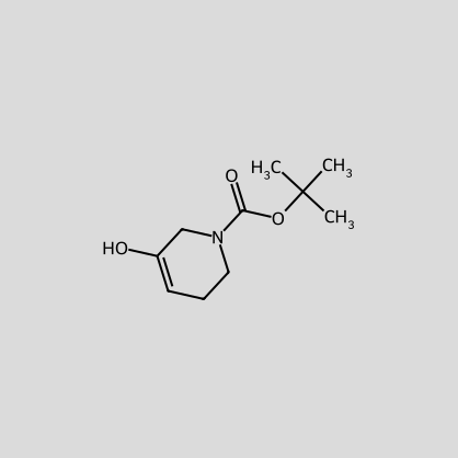 CC(C)(C)OC(=O)N1CCC=C(O)C1